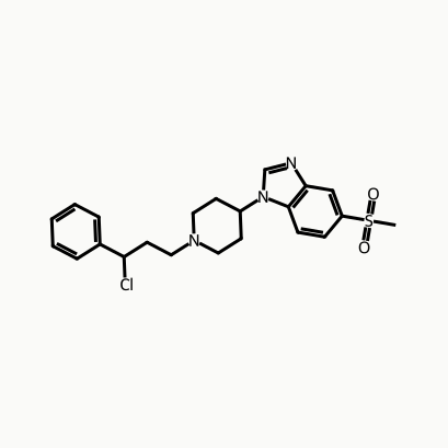 CS(=O)(=O)c1ccc2c(c1)ncn2C1CCN(CCC(Cl)c2ccccc2)CC1